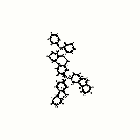 c1ccc(N(c2ccccc2)c2cccc3c2CCc2cc(N(c4ccc5c(c4)sc4ccccc45)c4ccc5sc6ccccc6c5c4)ccc2-3)cc1